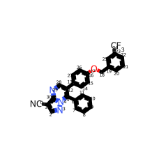 N#Cc1cnn2c(-c3ccccc3)c(-c3ccc(OCc4cccc(C(F)(F)F)c4)cc3)cnc12